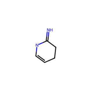 N=C1CCC=C[N]1